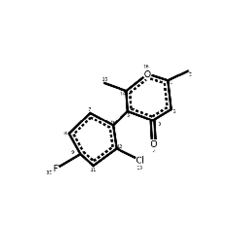 Cc1cc(=O)c(-c2ccc(F)cc2Cl)c(C)o1